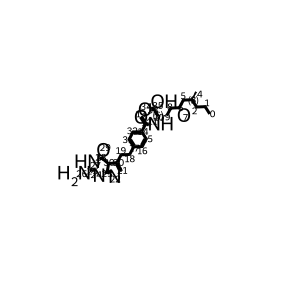 CCC[C@H](C)CC(=O)CC[C@H](NC(=O)c1ccc(CCC2=CN=C3N=C(N)NC(=O)C23)cc1)C(=O)O